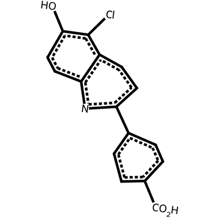 O=C(O)c1ccc(-c2ccc3c(Cl)c(O)ccc3n2)cc1